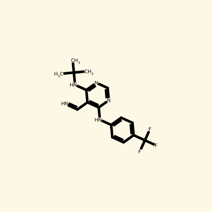 CC(C)(C)Nc1ncnc(Nc2ccc(C(F)(F)F)cc2)c1C=N